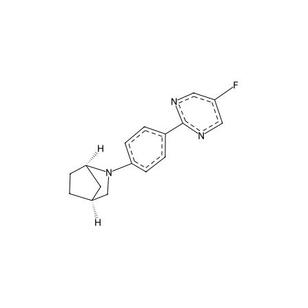 Fc1cnc(-c2ccc(N3C[C@H]4CC[C@@H]3C4)cc2)nc1